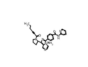 CCCC#CC(=O)N1CCCC1C1=C2C=NC=C[N+]2(N)C(c2ccc(C(=O)Nc3ccccn3)cc2)=N1